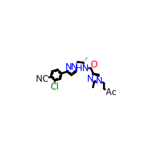 CC(=O)CCn1cc(C(=O)N[C@@H](C)Cn2ccc(-c3ccc(C#N)c(Cl)c3)n2)nc1C